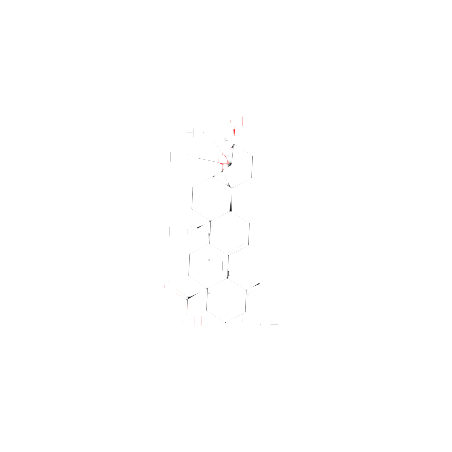 C[C@@H]1CC[C@]2(C(=O)O)CC[C@]3(C)C(=CCC4[C@]56CC[C@@](O)(OC5)C(C)(C)C6CC[C@]43C)C2[C@H]1C